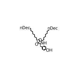 CCCCCCCCCCCCCCCCCCOC(=O)[C@H](Cc1ccc(O)cc1)NC(=O)CCCCCCCCCCCCCCCCC